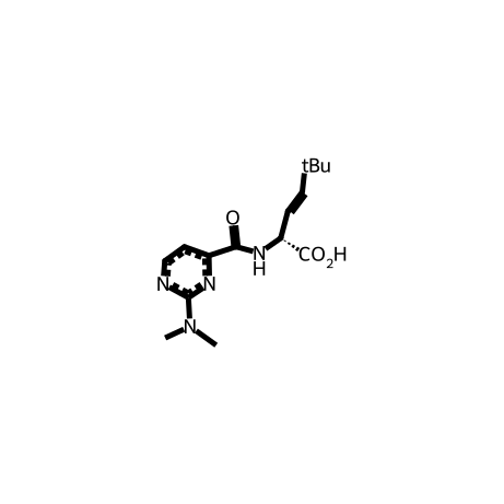 CN(C)c1nccc(C(=O)N[C@H](/C=C/C(C)(C)C)C(=O)O)n1